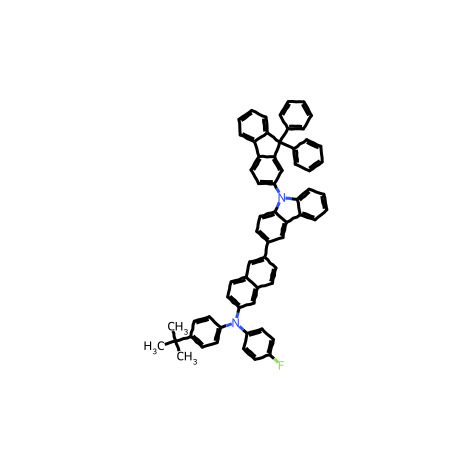 CC(C)(C)c1ccc(N(c2ccc(F)cc2)c2ccc3cc(-c4ccc5c(c4)c4ccccc4n5-c4ccc5c(c4)C(c4ccccc4)(c4ccccc4)c4ccccc4-5)ccc3c2)cc1